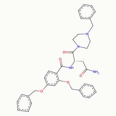 NC(=O)C[C@H](NC(=O)c1ccc(OCc2ccccc2)cc1OCc1ccccc1)C(=O)N1CCN(Cc2ccccc2)CC1